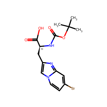 CC(C)(C)OC(=O)N[C@@H](Cc1cn2ccc(Br)cc2n1)C(=O)O